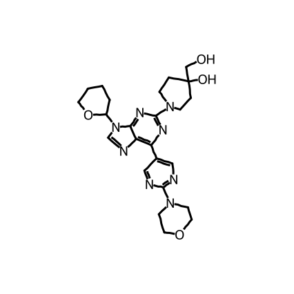 OCC1(O)CCN(c2nc(-c3cnc(N4CCOCC4)nc3)c3ncn(C4CCCCO4)c3n2)CC1